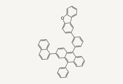 c1ccc(-c2c3ccccc3c(-c3cccc(-c4ccc5oc6ccccc6c5c4)c3)c3ccc(-c4cccc5ccccc45)cc23)cc1